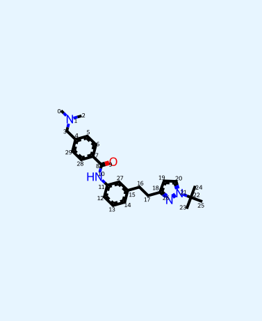 CN(C)Cc1ccc(C(=O)Nc2cccc(CCc3ccn(C(C)(C)C)n3)c2)cc1